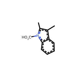 Cc1c(C)n(C(=O)O)c2ccccc12